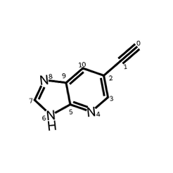 C#Cc1cnc2[nH]cnc2c1